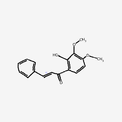 COc1ccc(C(=O)/C=C/c2ccccc2)c(O)c1OC